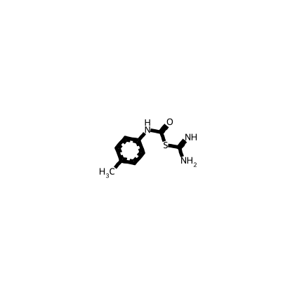 Cc1ccc(NC(=O)SC(=N)N)cc1